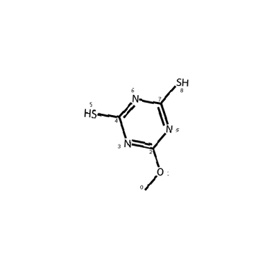 COc1nc(S)nc(S)n1